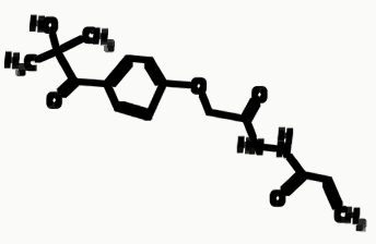 C=CC(=O)NNC(=O)COc1ccc(C(=O)C(C)(C)O)cc1